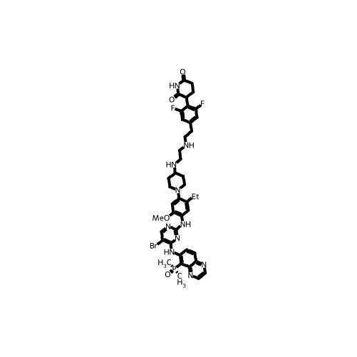 CCc1cc(Nc2ncc(Br)c(Nc3ccc4nccnc4c3P(C)(C)=O)n2)c(OC)cc1N1CCC(NCCNCCc2cc(F)c(C3CCC(=O)NC3=O)c(F)c2)CC1